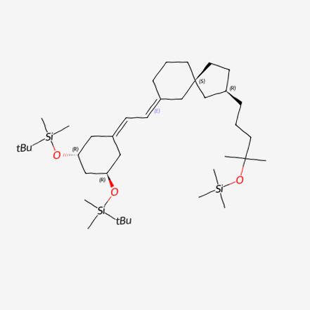 CC(C)(CCC[C@@H]1CC[C@@]2(CCC/C(=C\C=C3C[C@@H](O[Si](C)(C)C(C)(C)C)C[C@H](O[Si](C)(C)C(C)(C)C)C3)C2)C1)O[Si](C)(C)C